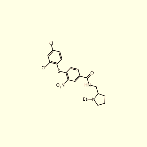 CCN1CCCC1CNC(=O)c1ccc(Sc2ccc(Cl)cc2Cl)c([N+](=O)[O-])c1